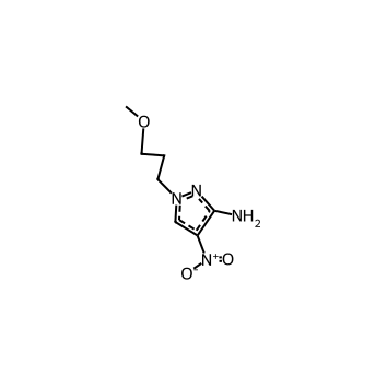 COCCCn1cc([N+](=O)[O-])c(N)n1